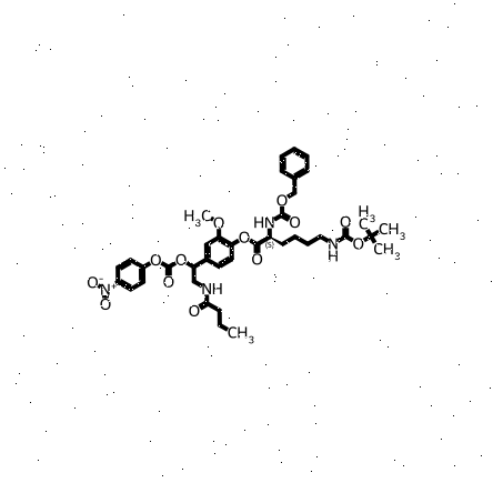 CCCC(=O)NCC(OC(=O)Oc1ccc([N+](=O)[O-])cc1)c1ccc(OC(=O)[C@H](CCCCNC(=O)OC(C)(C)C)NC(=O)OCc2ccccc2)c(OC)c1